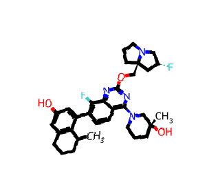 CC1CCCc2cc(O)cc(-c3ccc4c(N5CCC[C@@](C)(O)C5)nc(OC[C@@]56CCCN5C[C@H](F)C6)nc4c3F)c21